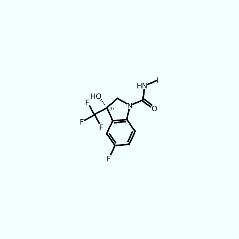 O=C(NI)N1C[C@](O)(C(F)(F)F)c2cc(F)ccc21